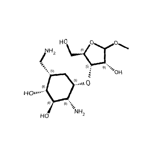 COC1O[C@H](CO)[C@@H](O[C@H]2C[C@@H](CN)[C@@H](O)[C@H](O)[C@H]2N)[C@H]1O